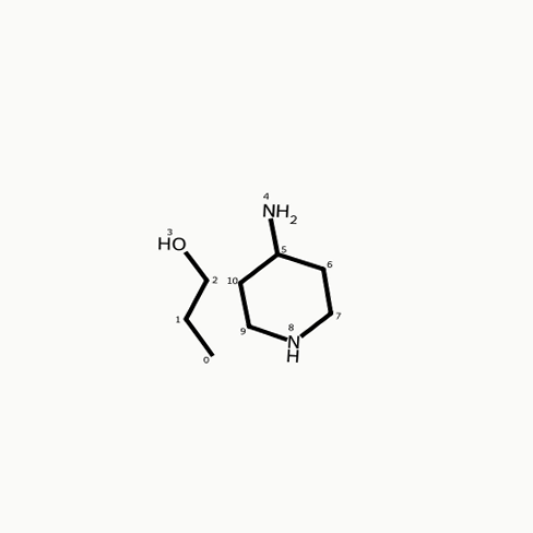 CCCO.NC1CCNCC1